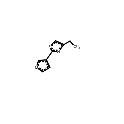 CCc1csc(-c2ccoc2)n1